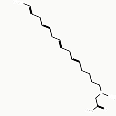 CCCCCC=CCC=CCC=CCC=CCCCCN(CC(=O)NC)C(=O)O